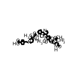 COc1nc(-c2ccnc(-c3cccc(NC(=O)c4nc5c(n4C)CN(CCC46CCC(C(=O)O)(CC4)C6)CC5)c3Cl)c2Cl)ccc1CN(C[C@@H]1CCC(=O)N1)C(=O)OC(C)(C)C